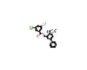 O=C(NCc1cc(-c2ccccc2)ccc1C(=O)O)c1cc(Cl)cc(Cl)c1